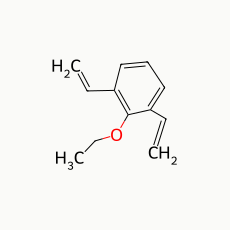 C=Cc1cccc(C=C)c1OCC